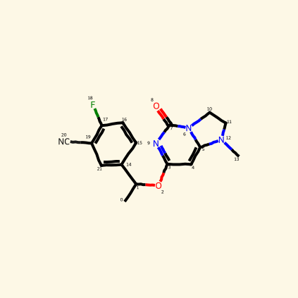 CC(Oc1cc2n(c(=O)n1)CCN2C)c1ccc(F)c(C#N)c1